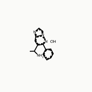 CC(N)c1cc2nccn2nc1-c1ccccc1.Cl